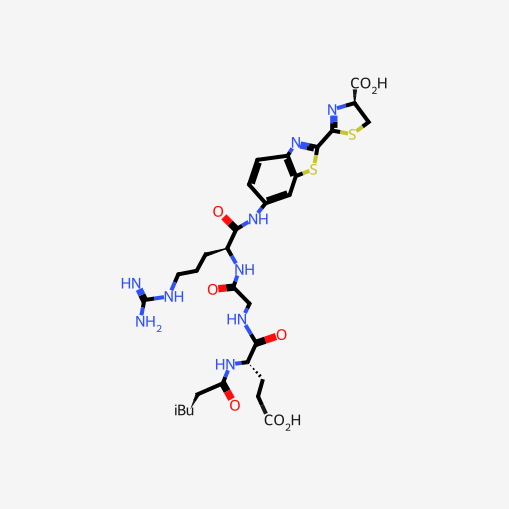 CC[C@H](C)CC(=O)N[C@@H](CCC(=O)O)C(=O)NCC(=O)N[C@@H](CCCNC(=N)N)C(=O)Nc1ccc2nc(C3=N[C@@H](C(=O)O)CS3)sc2c1